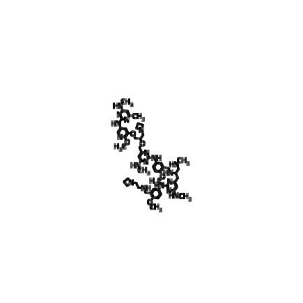 CNCC(Cc1cc(NC)nc(Nc2ccc(OC)c(CNCCN3CCC3)c2)n1)NCc1cc(Nc2nc(CO[C@@H](COc3cc(Nc4nc(C)cc(NC)n4)cnc3OC)CN3CCC3)cc(NC)n2)ccc1OC